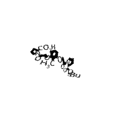 Cc1c(OCC(=O)N2CCC[C@@H]2C(=O)O)cccc1OCC(=O)N1CCC[C@@H]1C(=O)OC(C)(C)C